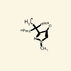 CCCCCCC(C)(CCCCC)c1nn(C)cc1Cl